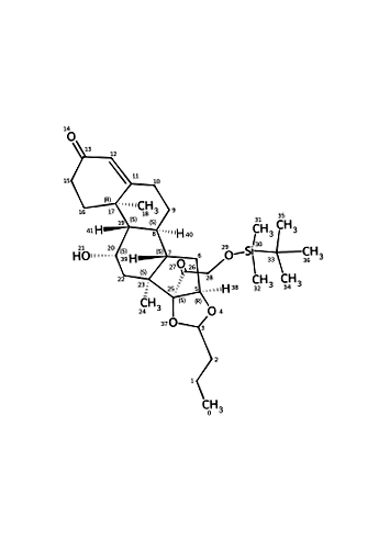 CCCC1O[C@@H]2C[C@H]3[C@@H]4CCC5=CC(=O)CC[C@]5(C)[C@H]4[C@@H](O)C[C@]3(C)[C@]2(C(=O)CO[Si](C)(C)C(C)(C)C)O1